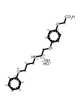 Cl.O=C(O)COc1ccc(OC[C@H](O)NCCCOc2ccccc2)cc1